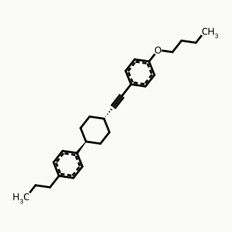 CCCCOc1ccc(C#C[C@H]2CC[C@H](c3ccc(CCC)cc3)CC2)cc1